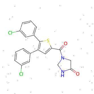 O=C1CN(C(=O)c2cc(-c3cccc(Cl)c3)c(-c3cccc(Cl)c3)s2)CN1